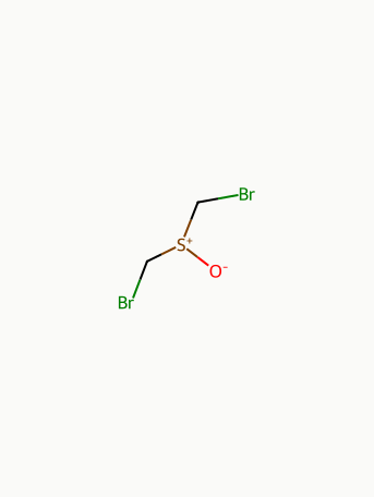 [O-][S+](CBr)CBr